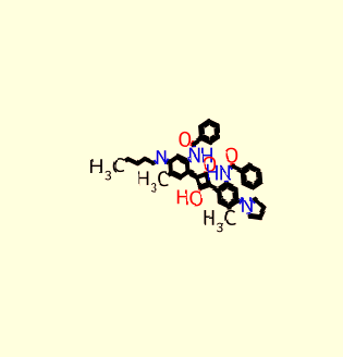 CCCCC/N=C1C=C(NC(=O)c2ccccc2)/C(=C2\C(=O)C(c3cc(C)c(N4CCCC4)cc3NC(=O)c3ccccc3)=C2O)C=C/1C